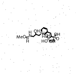 COBNCC(O)C[n+]1cccc(CC(P(=O)(O)O)[PH](O)(O)O)c1